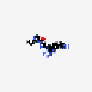 Cc1nccc(C(=O)NCCn2cc3c(n2)c(N)nc2cc(-c4cc[nH]n4)ccc23)n1